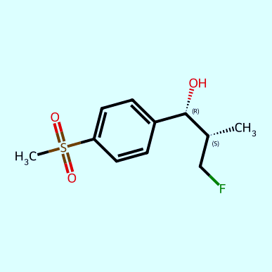 C[C@H](CF)[C@@H](O)c1ccc(S(C)(=O)=O)cc1